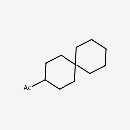 CC(=O)C1CCC2(CCCCC2)CC1